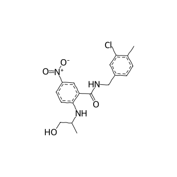 Cc1ccc(CNC(=O)c2cc([N+](=O)[O-])ccc2NC(C)CO)cc1Cl